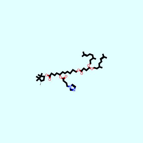 CC(C)=CCCC(C)CCOC(CCC(=O)OCCCCCCC(CCCC(=O)O[C@@H]1C[C@H](C)C(C)(C)C1(C)C)OC(=O)CCCn1ccnc1)OCCC(C)CCC=C(C)C